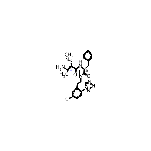 C=NS/C(C(=O)N[C@@H](Cc1ccccc1)C(=O)NCCc1cc(Cl)ccc1-n1cnnn1)=C(/C)N